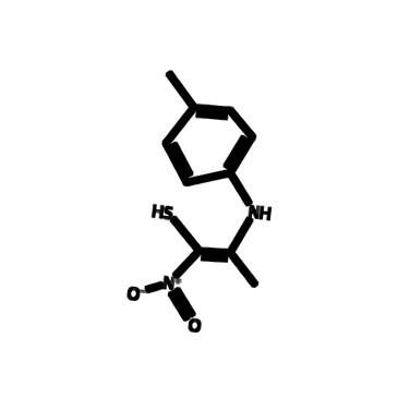 CC(Nc1ccc(C)cc1)=C(S)[N+](=O)[O-]